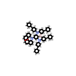 c1ccc(-c2ccc(N3c4ccc(-c5ccccc5)cc4B4c5cc(-c6ccccc6)ccc5N(c5ccc(-c6ccccc6)cc5)c5cc(N(c6cccc7ccccc67)c6cccc7ccccc67)cc3c54)cc2)cc1